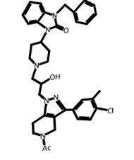 CC(=O)N1CCc2c(c(-c3ccc(Cl)c(C)c3)nn2CC(O)CN2CCC(n3c(=O)n(Cc4ccccc4)c4ccccc43)CC2)C1